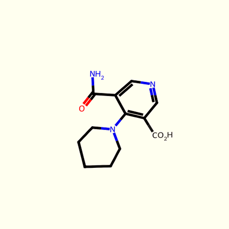 NC(=O)c1cncc(C(=O)O)c1N1CCCCC1